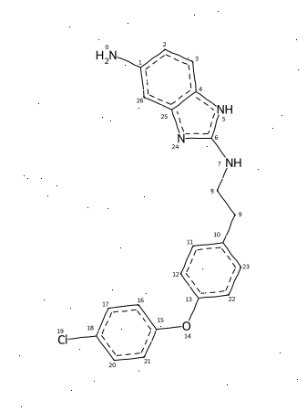 Nc1ccc2[nH]c(NCCc3ccc(Oc4ccc(Cl)cc4)cc3)nc2c1